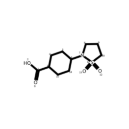 O=C(O)C1CCC(N2CCCS2(=O)=O)CC1